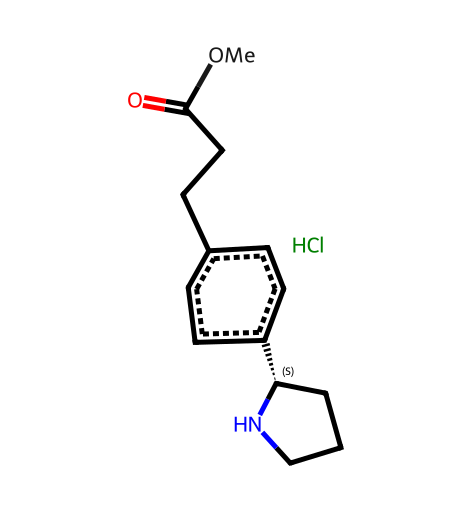 COC(=O)CCc1ccc([C@@H]2CCCN2)cc1.Cl